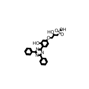 O=S(=O)(O)CC(O)COc1ccc(-c2nc(-c3ccccc3)nc(-c3ccccc3)n2)c(O)c1